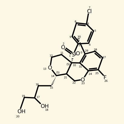 O=S(=O)(c1ccc(Cl)cc1)[C@@]12CCO[C@@H](CCC(O)CO)C1COc1c(F)ccc(F)c12